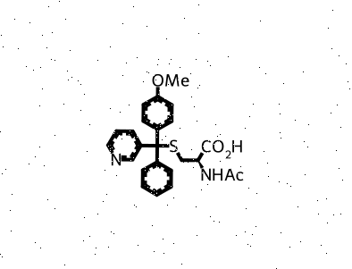 COc1ccc(C(SC[C@H](NC(C)=O)C(=O)O)(c2ccccc2)c2cccnc2)cc1